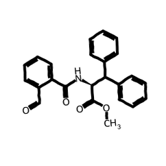 COC(=O)[C@@H](NC(=O)c1ccccc1C=O)C(c1ccccc1)c1ccccc1